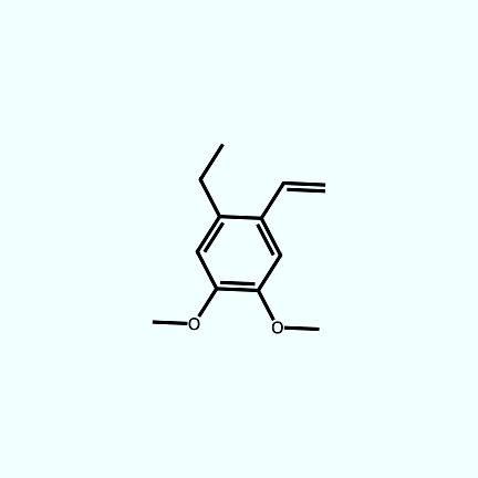 C=Cc1cc(OC)c(OC)cc1CC